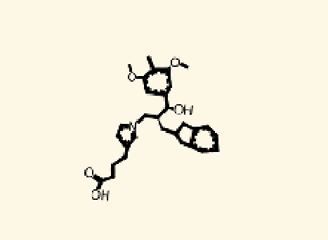 COc1cc([C@@H](O)[C@@H](CC2Cc3ccccc3C2)Cn2ccc(CCCC(=O)O)c2)cc(OC)c1C